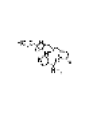 NC(=O)c1ccncc1.O=C(O)c1nc2c(o1)N=CN(Cc1ccc(F)cc1)C2